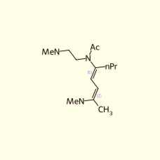 CCC/C(=C\C=C(\C)NC)N(CCNC)C(C)=O